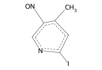 Cc1cc(I)ncc1N=O